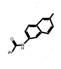 Cc1ccc2cc(NC(=O)C(C)C)ccc2c1